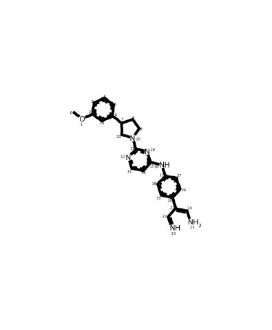 COc1cccc(C2CCN(c3nccc(Nc4ccc(/C(C=N)=C/N)cc4)n3)C2)c1